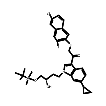 CC(C)(C)[Si](C)(C)OC[C@H](O)CCn1cc(C(=O)COc2cc3ccc(Cl)cc3cc2I)c2ccc(C3CC3)cc21